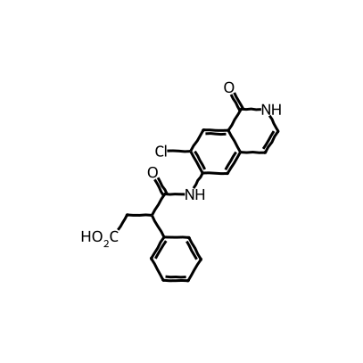 O=C(O)CC(C(=O)Nc1cc2cc[nH]c(=O)c2cc1Cl)c1ccccc1